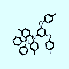 Cc1ccc(Oc2cc(Oc3ccc(C)cc3)cc(N3c4ccc(C)cc4[Si](c4ccccc4)(c4ccccc4)c4cc(C)ccc43)c2)cc1